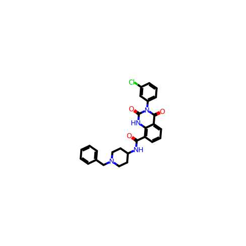 O=C(NC1CCN(Cc2ccccc2)CC1)c1cccc2c(=O)n(-c3cccc(Cl)c3)c(=O)[nH]c12